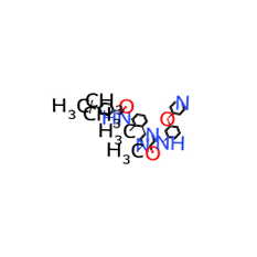 Cc1c(NC(=O)c2ccc(C(C)(C)C)cc2)cccc1-c1cn(C)c(=O)c(Nc2cccc(Oc3ccncc3)c2)n1